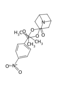 CC(C)(C)OC(=O)N1C2CC(OC(=O)c3ccc([N+](=O)[O-])cc3)CC1C2